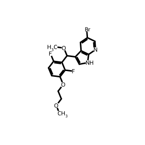 COCCOc1ccc(F)c(C(OC)c2c[nH]c3ncc(Br)cc23)c1F